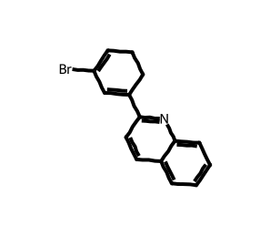 BrC1=CCCC(c2ccc3ccccc3n2)=C1